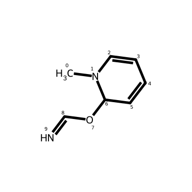 CN1C=CC=CC1OC=N